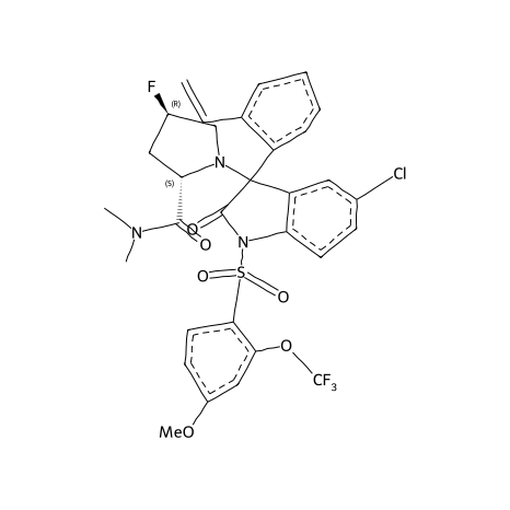 C=Cc1ccccc1C1(N2C[C@H](F)C[C@H]2C(=O)N(C)C)C(=O)N(S(=O)(=O)c2ccc(OC)cc2OC(F)(F)F)c2ccc(Cl)cc21